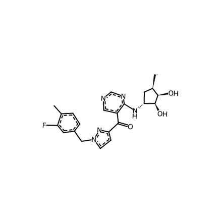 [CH2][C@@H]1C[C@@H](Nc2ncncc2C(=O)c2ccn(Cc3ccc(C)c(F)c3)n2)[C@H](O)[C@@H]1O